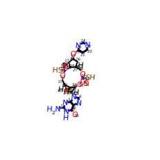 Nc1nc2c(ncn2[C@@H]2O[C@@H]3COP(=O)(S)[C@H]4C[C@H](Oc5ccncn5)C[C@@H]4COP(=O)(S)O[C@@H]2[C@@H]3F)c(=O)[nH]1